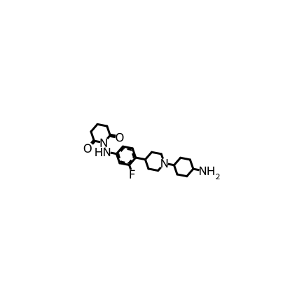 NC1CCC(N2CCC(c3ccc(NN4C(=O)CCCC4=O)cc3F)CC2)CC1